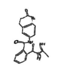 CC(=N)NC(=O)c1ccccc1C(=O)Nc1ccc2c(c1)CCC(=O)N2